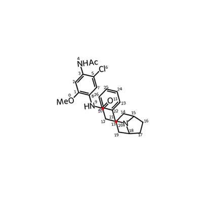 COc1cc(NC(C)=O)c(Cl)cc1NC(=O)CC1CC2CCC(C1)N2Cc1ccccc1